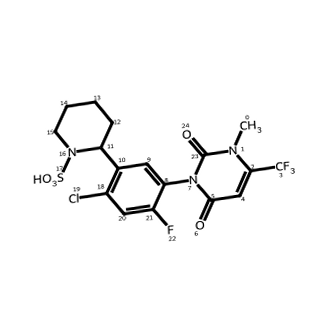 Cn1c(C(F)(F)F)cc(=O)n(-c2cc(C3CCCCN3S(=O)(=O)O)c(Cl)cc2F)c1=O